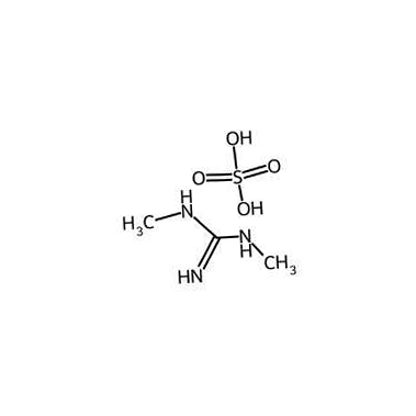 CNC(=N)NC.O=S(=O)(O)O